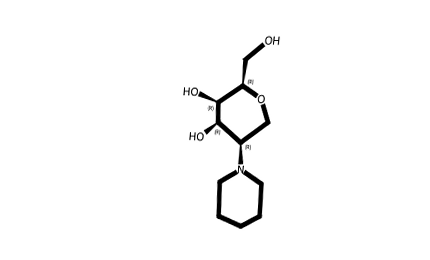 OC[C@H]1OC[C@@H](N2CCCCC2)[C@@H](O)[C@H]1O